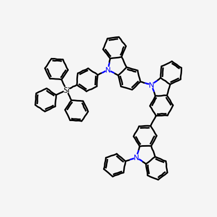 c1ccc(-n2c3ccccc3c3cc(-c4ccc5c6ccccc6n(-c6ccc7c(c6)c6ccccc6n7-c6ccc([Si](c7ccccc7)(c7ccccc7)c7ccccc7)cc6)c5c4)ccc32)cc1